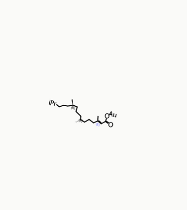 C/C(=C\C(=O)[O][Au])CCC[C@H](C)CCC[C@H](C)CCCC(C)C